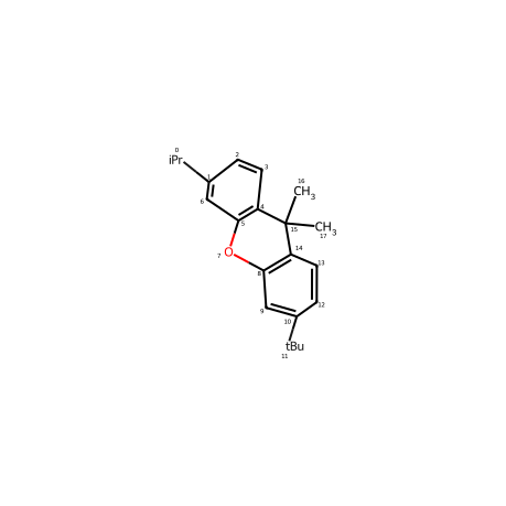 CC(C)c1ccc2c(c1)Oc1cc(C(C)(C)C)ccc1C2(C)C